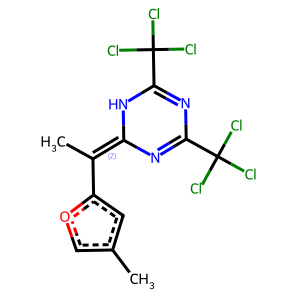 C/C(=C1/N=C(C(Cl)(Cl)Cl)N=C(C(Cl)(Cl)Cl)N1)c1cc(C)co1